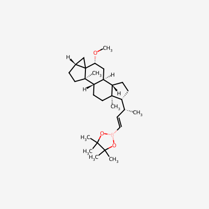 CO[C@@H]1C[C@H]2[C@@H]3CC[C@H]([C@H](C)/C=C/B4OC(C)(C)C(C)(C)O4)[C@@]3(C)CC[C@@H]2[C@@]2(C)CC[C@@H]3CC312